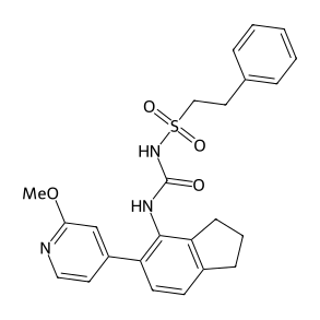 COc1cc(-c2ccc3c(c2NC(=O)NS(=O)(=O)CCc2ccccc2)CCC3)ccn1